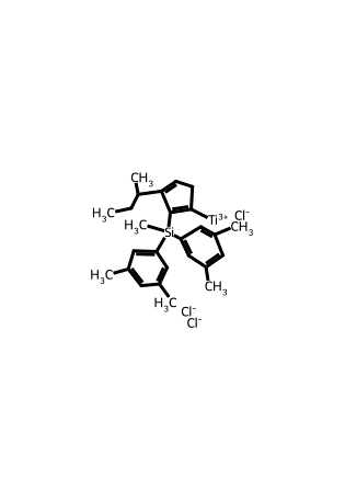 CCC(C)C1=CC[C]([Ti+3])=C1[Si](C)(c1cc(C)cc(C)c1)c1cc(C)cc(C)c1.[Cl-].[Cl-].[Cl-]